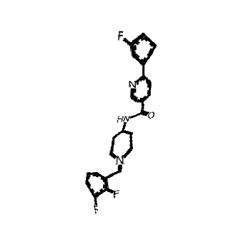 O=C(NC1CCN(Cc2cccc(F)c2F)CC1)c1ccc(-c2cccc(F)c2)nc1